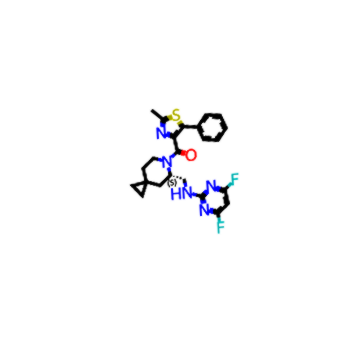 Cc1nc(C(=O)N2CCC3(CC3)C[C@H]2CNc2nc(F)cc(F)n2)c(-c2ccccc2)s1